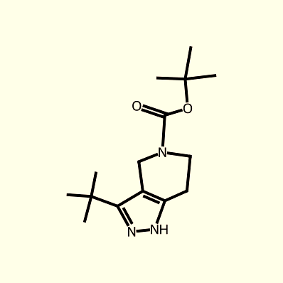 CC(C)(C)OC(=O)N1CCc2[nH]nc(C(C)(C)C)c2C1